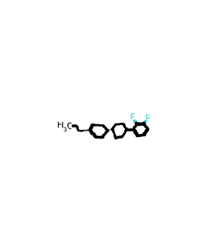 CCC[C@H]1CC[C@H](C2CCC(c3cccc(F)c3F)CC2)CC1